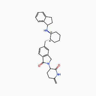 C=C1CCC(N2Cc3cc(C[C@H]4CCCC[C@@H]4NC4CCc5ccccc54)ccc3C2=O)C(=O)N1